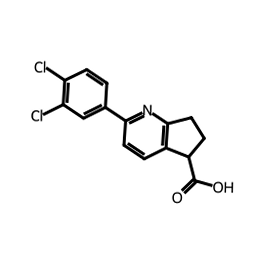 O=C(O)C1CCc2nc(-c3ccc(Cl)c(Cl)c3)ccc21